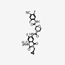 CC(C)N1C(=O)N(CC2CC2)C(=O)C2C=C(NC(=O)N3CCO[C@@H](C(=O)Nc4cc(F)c(C#N)cc4F)C3)C(F)=C[C@@]21C